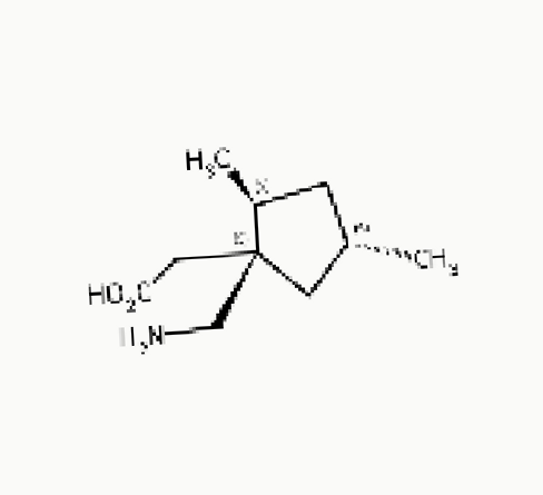 C[C@H]1C[C@H](C)[C@@](CN)(CC(=O)O)C1